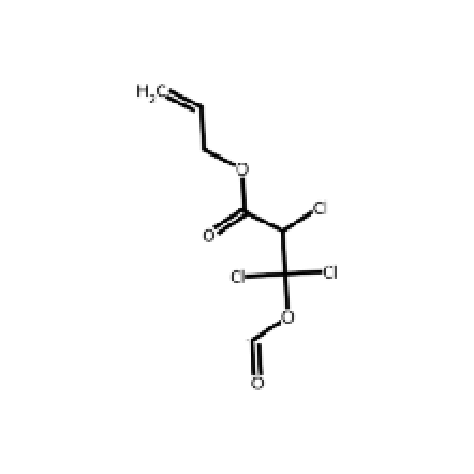 C=CCOC(=O)C(Cl)C(Cl)(Cl)O[C]=O